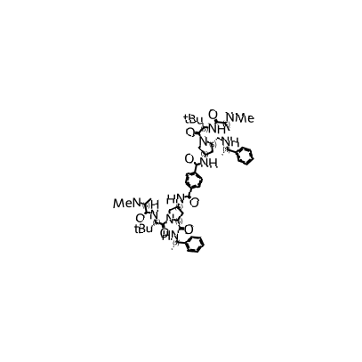 CN[C@@H](C)C(=O)N[C@H](C(=O)N1C[C@@H](NC(=O)c2ccc(C(=O)N[C@H]3C[C@@H](C(=O)N[C@@H](C)c4ccccc4)N(C(=O)[C@@H](NC(=O)[C@H](C)NC)C(C)(C)C)C3)cc2)C[C@H]1CN[C@@H](C)c1ccccc1)C(C)(C)C